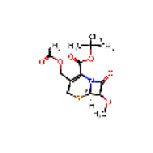 COC1C(=O)N2C(C(=O)OC(C)(C)C)=C(COC(C)=O)CS[C@H]12